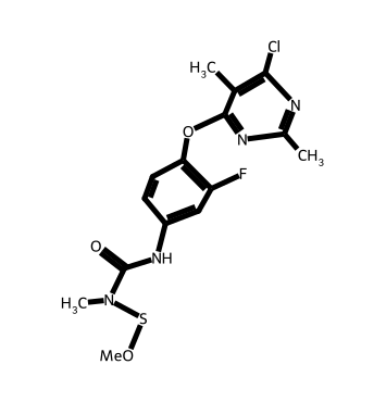 COSN(C)C(=O)Nc1ccc(Oc2nc(C)nc(Cl)c2C)c(F)c1